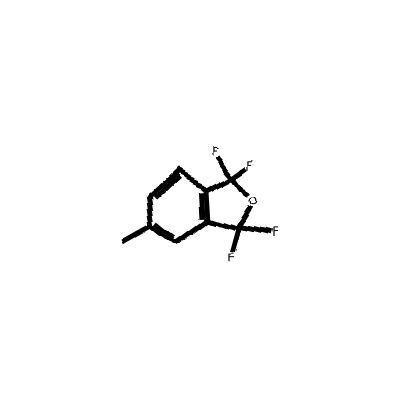 Cc1ccc2c(c1)C(F)(F)OC2(F)F